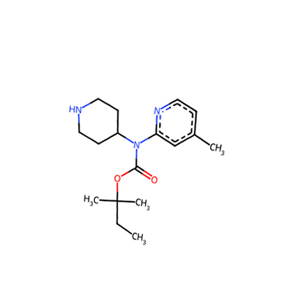 CCC(C)(C)OC(=O)N(c1cc(C)ccn1)C1CCNCC1